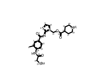 Cc1cc(C(=O)N=c2sccn2COC(=O)C2CCNCC2)ccc1NC(=O)CC(C)(C)C